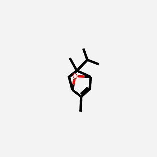 CC1=CC2OC1CC2(C)C(C)C